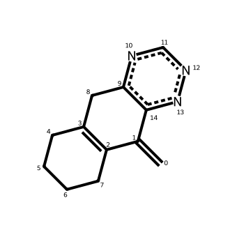 C=C1C2=C(CCCC2)Cc2ncnnc21